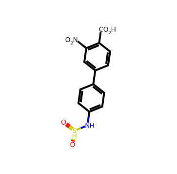 O=C(O)c1ccc(-c2ccc(N[SH](=O)=O)cc2)cc1[N+](=O)[O-]